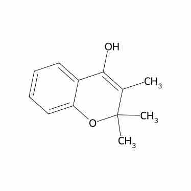 CC1=C(O)c2ccccc2OC1(C)C